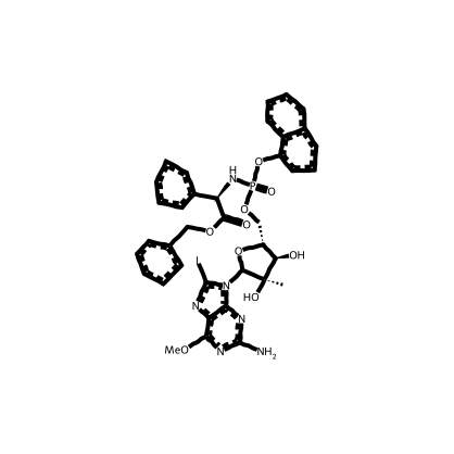 COc1nc(N)nc2c1nc(I)n2C1O[C@H](COP(=O)(N[C@@H](C(=O)OCc2ccccc2)c2ccccc2)Oc2cccc3ccccc23)[C@@H](O)[C@@]1(C)O